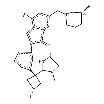 C[C@H]1CCCN(Cc2cc(C(F)(F)F)c3cn(-c4cccc([C@]5(C6NNCN6C)C[C@@H](C)C5)c4)c(=O)n3c2)C1